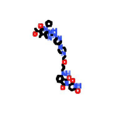 CC(=O)c1c(C)c2cnc(Nc3ccc(N4CCN(CCOCCCNc5cccc6c5C(=O)N(C5CCC(=O)NC5=O)C6=O)CC4)cn3)nc2n(C2CCCC2)c1=O